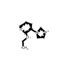 CCOc1ccccc1-n1[c]ncc1